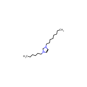 [CH2]CCCCCN1C=CN(CCCCCCCC)C1